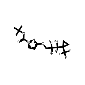 [2H]C([2H])(COc1ccn(C(=O)OC(C)(C)C)n1)C([2H])([2H])C1(C(F)(F)F)CC1